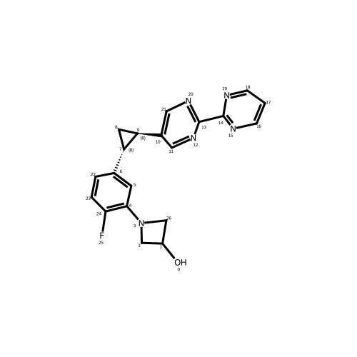 OC1CN(c2cc([C@@H]3C[C@H]3c3cnc(-c4ncccn4)nc3)ccc2F)C1